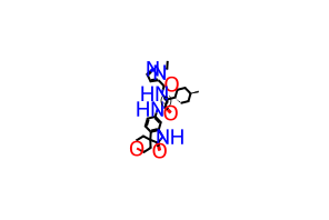 CCn1nccc1C(=O)N[C@H](C(=O)Nc1ccc2c(c1)NC(=O)C21CCOCC1)[C@H]1CC[C@H](C)CC1